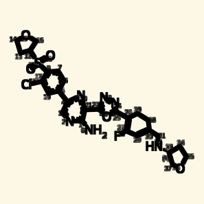 Nc1ncc(-c2ccc(S(=O)(=O)C3CCOC3)c(Cl)c2)nc1-c1nnc(C2=C(F)C=C(CN[C@@H]3CCOC3)CC2)o1